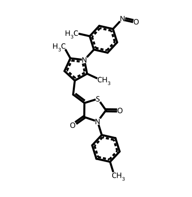 Cc1ccc(N2C(=O)SC(=Cc3cc(C)n(-c4ccc(N=O)cc4C)c3C)C2=O)cc1